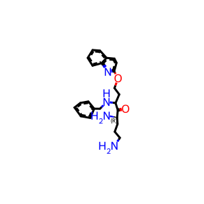 NCCC[C@@H](N)C(=O)C(CCOc1ccc2ccccc2n1)NCc1ccccc1